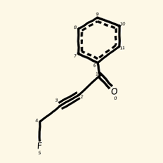 O=C(C#CCF)c1ccccc1